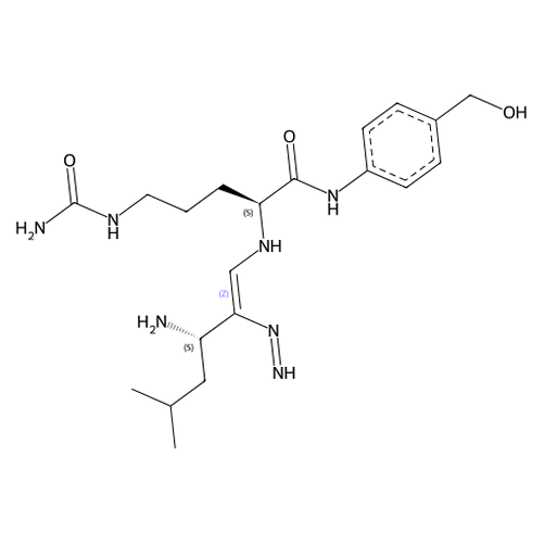 CC(C)C[C@H](N)/C(=C/N[C@@H](CCCNC(N)=O)C(=O)Nc1ccc(CO)cc1)N=N